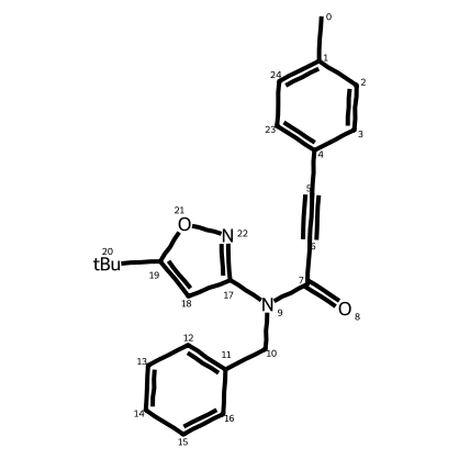 Cc1ccc(C#CC(=O)N(Cc2ccccc2)c2cc(C(C)(C)C)on2)cc1